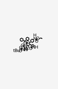 C=CCOC(=O)Nc1ccc(CC(=C2CCNC2=O)C2=C(C(=O)OC(c3ccccc3)c3ccccc3)N3C(=O)[C@@H](NC(=O)OC(C)(C)C)[C@H]3SC2)cc1